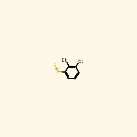 CCc1cccc(P=S)c1CC